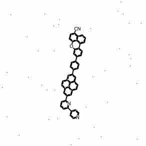 N#Cc1ccc2c3c(cccc13)-c1ccc(-c3ccc(-c4cc5ccc6cc(-c7cccc(-c8ccncc8)n7)cc7ccc(c4)c5c67)cc3)cc1O2